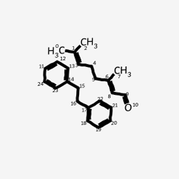 CC(C)=CCC/C(C)=C/C=O.c1ccc(CCc2ccccc2)cc1